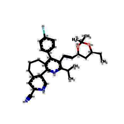 CC[C@H]1C[C@@H](/C=C/c2c(C(C)C)nc3c(c2-c2ccc(F)cc2)CCCc2cc(C#N)ncc2-3)OC(C)(C)O1